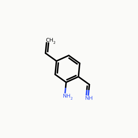 C=Cc1ccc(C=N)c(N)c1